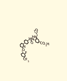 O=C(Cc1ccc(-c2cccc(OCc3ccc(C(F)(F)F)cc3F)n2)cc1)Nc1ccc(C(=O)O)cc1NCC1CCOC1